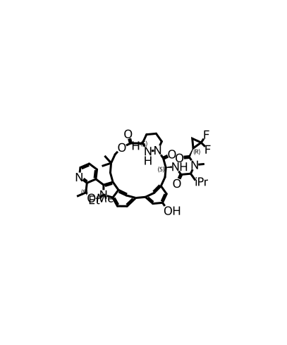 CCn1c(-c2cccnc2[C@H](C)OC)c2c3cc(ccc31)-c1cc(O)cc(c1)C[C@H](NC(=O)C(C(C)C)N(C)C(=O)[C@H]1CC1(F)F)C(=O)N1CCC[C@H](N1)C(=O)OCC(C)(C)C2